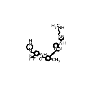 CNCCCn1cc(Nc2cccn3c(C#Cc4cc(C(=O)Nc5ccc(CN6CCCNCC6)c(C(F)(F)F)c5)ccc4C)cnc23)cn1